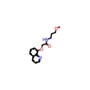 COCCCNC(=O)COc1cccc2cccnc12